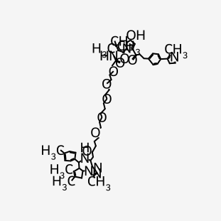 CC1=C(C)C2C(c3ccc(C)cc3)NC(CC(=O)CCCOCCOCCCOCCOCCOCC(=O)N[C@H](C(=O)N3CC(O)CC3C(=O)CCc3ccc(C4=C(C)N=CC4)cc3)C(C)(C)C)c3nnc(C)n3C2C1